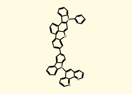 c1ccc(-n2c3ccccc3c3c4cccc5c4c(cc32)Oc2cc(-c3ccc4c(c3)c3ccccc3n4-c3cc4cccnc4c4ncccc34)ccc2-5)cc1